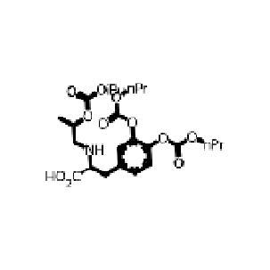 CCCOC(=O)Oc1ccc(C[C@H](NCC(C)OC(=O)OCC(C)C)C(=O)O)cc1OC(=O)OCCC